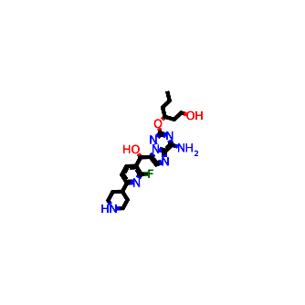 CCCC(CCO)Oc1nc(N)c2ncc(C(O)c3ccc(C4CCNCC4)nc3F)n2n1